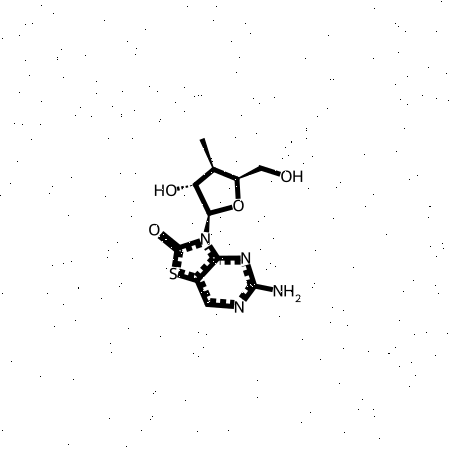 C[C@@H]1[C@@H](O)[C@H](n2c(=O)sc3cnc(N)nc32)O[C@@H]1CO